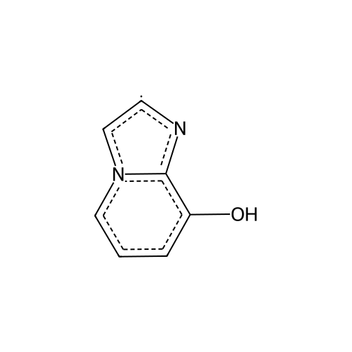 Oc1cccn2c[c]nc12